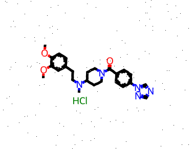 COc1ccc(CCN(C)C2CCN(C(=O)c3ccc(-n4cncn4)cc3)CC2)cc1OC.Cl